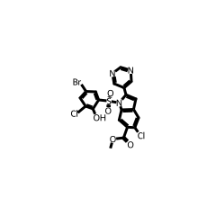 COC(=O)c1cc2c(cc1Cl)cc(-c1cncnc1)n2S(=O)(=O)c1cc(Br)cc(Cl)c1O